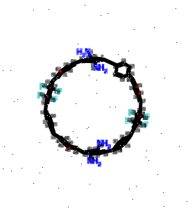 Nc1cc2c(N)cc1-c1ccc(cc1)-c1ccc(cc1)-c1c(F)c(F)c(c(F)c1F)-c1ccc(cc1)-c1cc(N)c(cc1N)-c1ccc(cc1)-c1ccc(cc1)-c1c(F)c(F)c(c(F)c1F)-c1ccc-2cc1